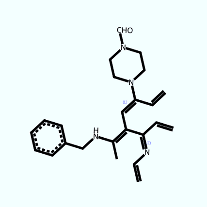 C=C/N=C(/C=C)C(/C=C(\C=C)N1CCN(C=O)CC1)=C(C)NCc1ccccc1